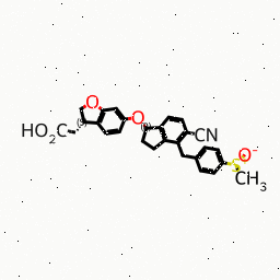 C[S+]([O-])c1ccc(Cc2c(C#N)ccc3c2CC[C@H]3Oc2ccc3c(c2)OC[C@H]3CC(=O)O)cc1